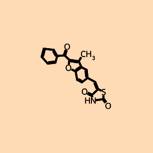 Cc1c(C(=O)c2ccccc2)oc2ccc(C=C3SC(=O)NC3=O)cc12